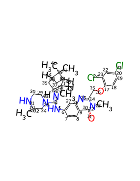 C[C@@H]1[C@@H](N=C(Nc2ccc3c(=O)n(C)c(COc4ccc(Cl)cc4Cl)nc3c2)N2CCN[C@@H](C)C2)C[C@H]2C[C@@H]1C2(C)C